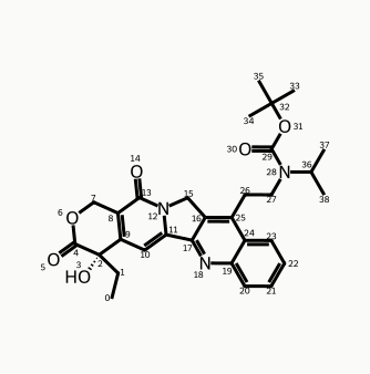 CC[C@@]1(O)C(=O)OCc2c1cc1n(c2=O)Cc2c-1nc1ccccc1c2CCN(C(=O)OC(C)(C)C)C(C)C